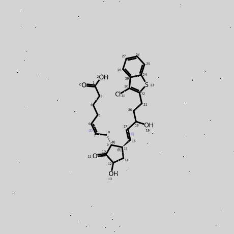 O=C(O)CCC/C=C\C[C@H]1C(=O)C(O)C[C@@H]1/C=C/C(O)CCc1sc2ccccc2c1Cl